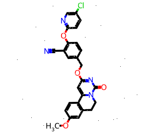 COc1ccc2c(c1)CCn1c-2cc(OCc2ccc(Oc3ccc(Cl)cn3)c(C#N)c2)nc1=O